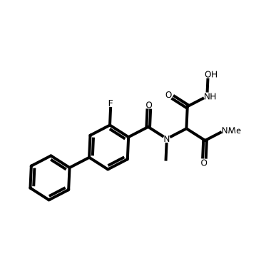 CNC(=O)C(C(=O)NO)N(C)C(=O)c1ccc(-c2ccccc2)cc1F